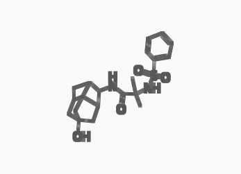 CC(C)(NS(=O)(=O)c1ccccc1)C(=O)NC1C2CC3CC1CC(O)(C3)C2